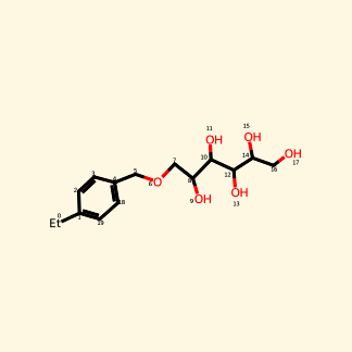 CCc1ccc(COCC(O)C(O)C(O)C(O)CO)cc1